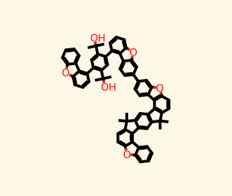 CC(C)(O)c1cc(-c2cccc3oc4cc(-c5ccc6c(c5)oc5ccc7c(c56)-c5cc6c(cc5C7(C)C)-c5c(ccc7oc8ccccc8c57)C6(C)C)ccc4c23)c(C(C)(C)O)cc1-c1cccc2oc3ccccc3c12